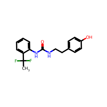 CC(F)(F)c1ccccc1NC(=O)NCCc1ccc(O)cc1